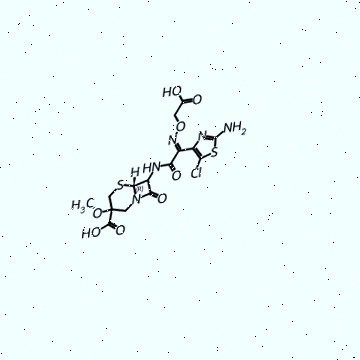 COC1(C(=O)O)CS[C@@H]2C(NC(=O)C(=NOCC(=O)O)c3nc(N)sc3Cl)C(=O)N2C1